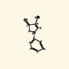 O=C1CN(c2ccccc2)C=C1Br